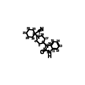 N#CC1(N2CCC(n3c(=O)[nH]c4ccccc43)CC2)CCCCC1